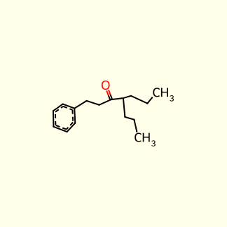 CCCC(CCC)C(=O)CCc1ccccc1